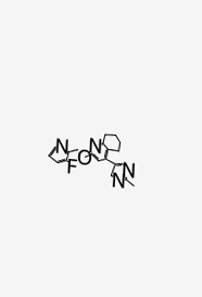 Cc1ncc(-c2cc(OCc3ncccc3F)nc3c2CCCC3)cn1